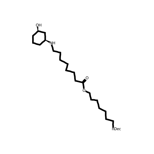 CCCCCCCCCCCCCCCCCOC(=O)CCCCCCCN[C@H]1CCC[C@@H](O)C1